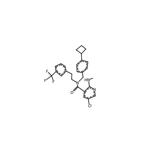 CNc1ncc(Cl)cc1C(=O)N(CCc1cccc(C(F)(F)F)c1)Cc1ccc(C2CCC2)cc1